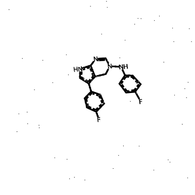 Fc1ccc(NN2C=Nc3[nH]cc(-c4ccc(F)cc4)c3C2)cc1